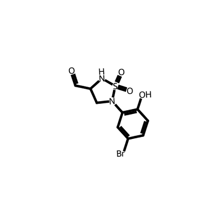 O=CC1CN(c2cc(Br)ccc2O)S(=O)(=O)N1